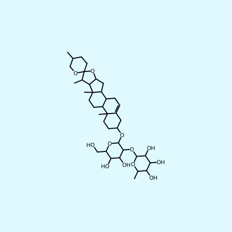 CC1CCC2(OC1)OC1CC3C4CC=C5CC(OC6OC(CO)C(O)C(O)C6OC6OC(C)C(O)C(O)C6O)CCC5(C)C4CCC3(C)C1C2C